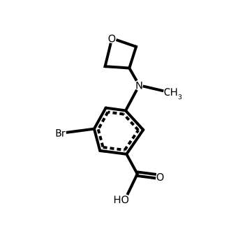 CN(c1cc(Br)cc(C(=O)O)c1)C1COC1